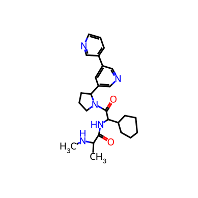 CNC(C)C(=O)NC(C(=O)N1CCCC1c1cncc(-c2cccnc2)c1)C1CCCCC1